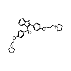 O=C(c1ccc(OCCN2CCCC2)cc1)c1c(-c2ccc(OCCCN3CCCC3)cc2)sc2ccccc12